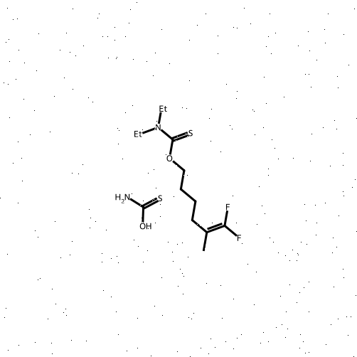 CCN(CC)C(=S)OCCCCC(C)=C(F)F.NC(O)=S